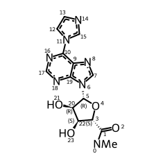 CNC(=O)[C@H]1O[C@@H](n2cnc3c(-n4ccnc4)ncnc32)[C@H](O)[C@@H]1O